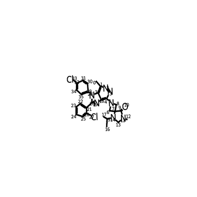 Cc1nnc(N2CC3(C2)C(=O)N(C)CN3C(C)C)c2nc(-c3ccccc3Cl)n(-c3ccc(Cl)cc3)c12